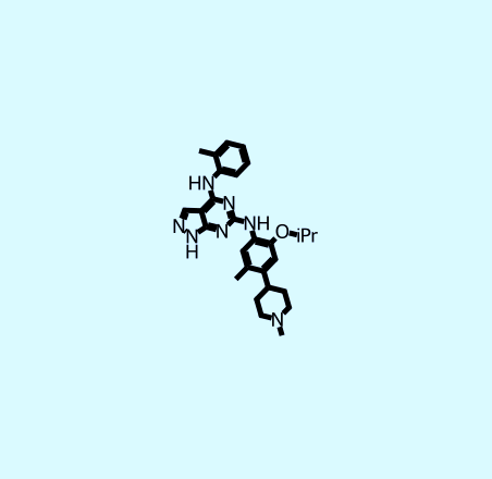 Cc1ccccc1Nc1nc(Nc2cc(C)c(C3CCN(C)CC3)cc2OC(C)C)nc2[nH]ncc12